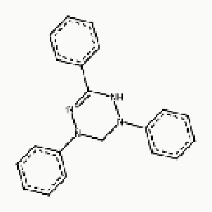 c1ccc(C2=[N+]N(c3ccccc3)CN(c3ccccc3)N2)cc1